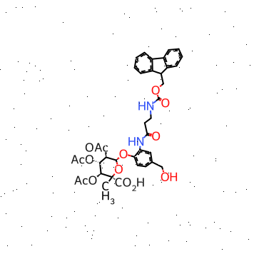 CC(=O)O[C@@H]1[C@@H](OC(C)=O)[C@@H](Oc2ccc(CO)cc2NC(=O)CCNC(=O)OCC2c3ccccc3-c3ccccc32)O[C@](C)(C(=O)O)[C@H]1OC(C)=O